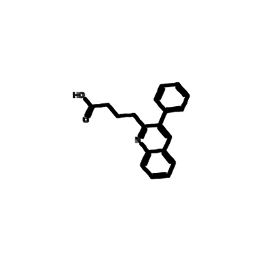 O=C(O)CCCc1nc2ccccc2cc1-c1ccccc1